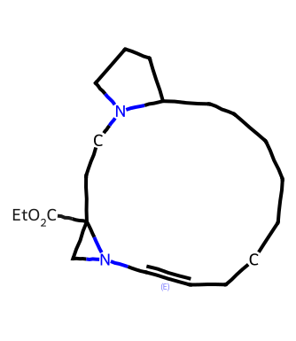 CCOC(=O)C12CCN3CCCC3CCCCCCC/C=C/N1C2